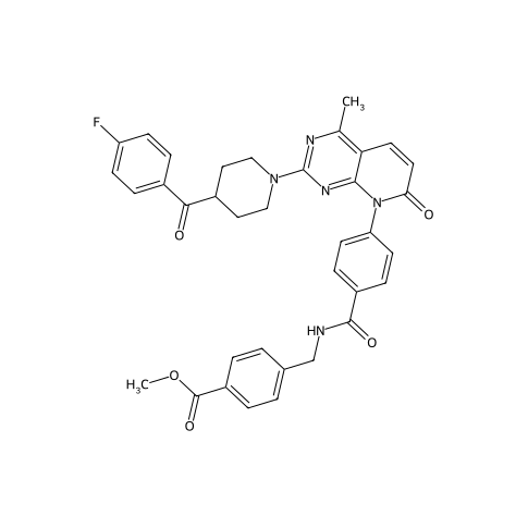 COC(=O)c1ccc(CNC(=O)c2ccc(-n3c(=O)ccc4c(C)nc(N5CCC(C(=O)c6ccc(F)cc6)CC5)nc43)cc2)cc1